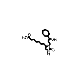 O=C(O)CCCCCCC1CNC(=O)N1CCC(O)C1CCCCCC1